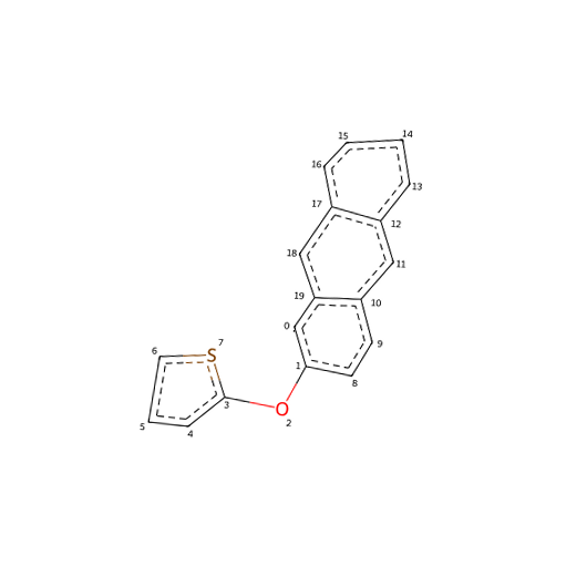 [c]1c(Oc2cccs2)ccc2cc3ccccc3cc12